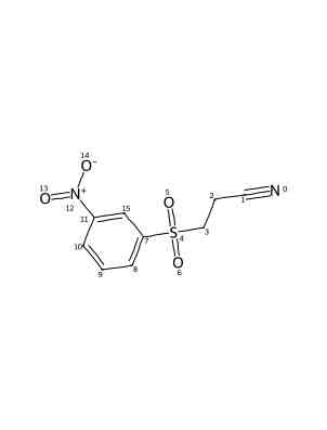 N#CCCS(=O)(=O)c1cccc([N+](=O)[O-])c1